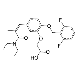 CCN(CC)C(=O)/C(C)=C\c1ccc(OCc2c(F)cccc2F)c(OCC(=O)O)c1